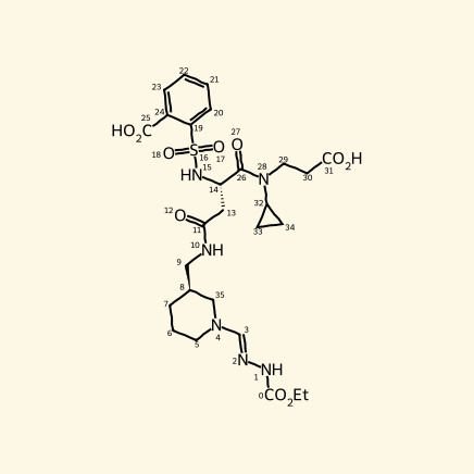 CCOC(=O)NN=CN1CCC[C@@H](CNC(=O)C[C@H](NS(=O)(=O)c2ccccc2C(=O)O)C(=O)N(CCC(=O)O)C2CC2)C1